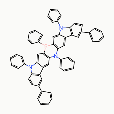 c1ccc(B2c3cc4c(cc3N(c3ccccc3)c3cc5c6cc(-c7ccccc7)ccc6n(-c6ccccc6)c5cc32)c2cc(-c3ccccc3)ccc2n4-c2ccccc2)cc1